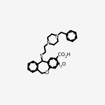 O.O=C(O)c1ccc2c(c1)C(SCCN1CCN(Cc3ccccc3)CC1)c1ccccc1CO2